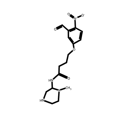 CN1CCNCC1NC(=O)CCCOc1ccc([N+](=O)[O-])c(C=O)c1